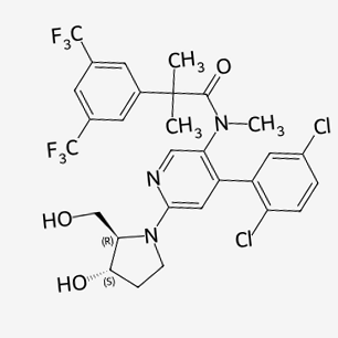 CN(C(=O)C(C)(C)c1cc(C(F)(F)F)cc(C(F)(F)F)c1)c1cnc(N2CC[C@H](O)[C@H]2CO)cc1-c1cc(Cl)ccc1Cl